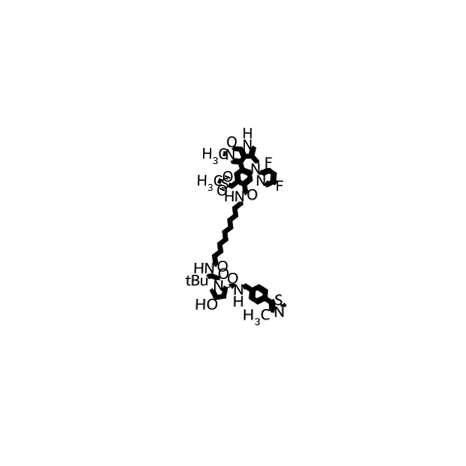 Cc1ncsc1-c1ccc(CNC(=O)[C@@H]2C[C@@H](O)CN2C(=O)C(NC(=O)CCCCCCCCCCNC(=O)c2cc3c(cc2CS(C)(=O)=O)-c2cn(C)c(=O)c4[nH]cc(c24)CN3c2ncc(F)cc2F)C(C)(C)C)cc1